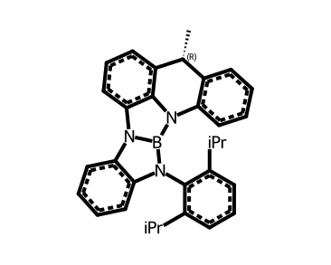 CC(C)c1cccc(C(C)C)c1N1B2N(c3ccccc31)c1cccc3c1N2c1ccccc1[C@H]3C